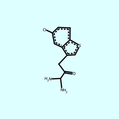 NC(N)C(=O)Cc1csc2ccc(Cl)cc12